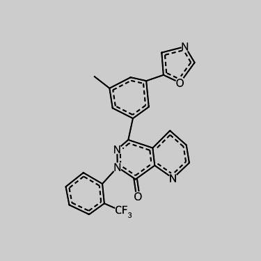 Cc1cc(-c2cnco2)cc(-c2nn(-c3ccccc3C(F)(F)F)c(=O)c3ncccc23)c1